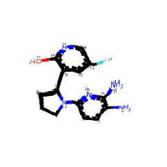 Nc1ccc(N2CCCC2c2cc(F)cnc2O)nc1N